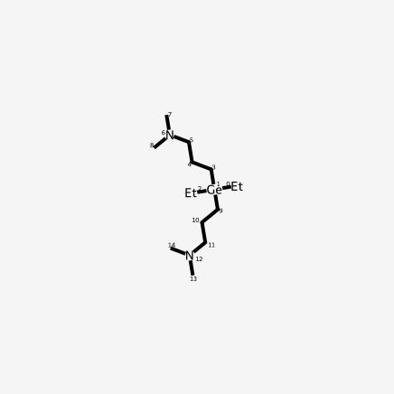 C[CH2][Ge]([CH2]C)([CH2]CCN(C)C)[CH2]CCN(C)C